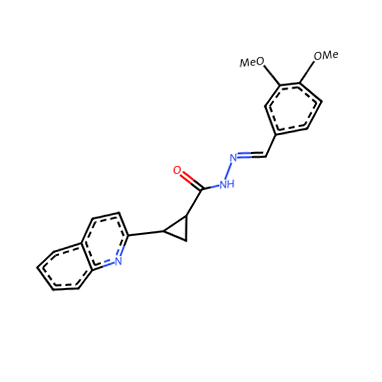 COc1ccc(C=NNC(=O)C2CC2c2ccc3ccccc3n2)cc1OC